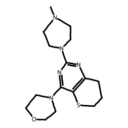 CN1CCN(c2nc3c(c(N4CCOCC4)n2)SCCC3)CC1